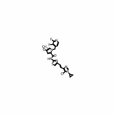 COc1cc(C(=O)Nc2nc(/C=C/c3ncn(C4CC4)c3Cl)cs2)n(Cc2ccnc(F)c2F)c1